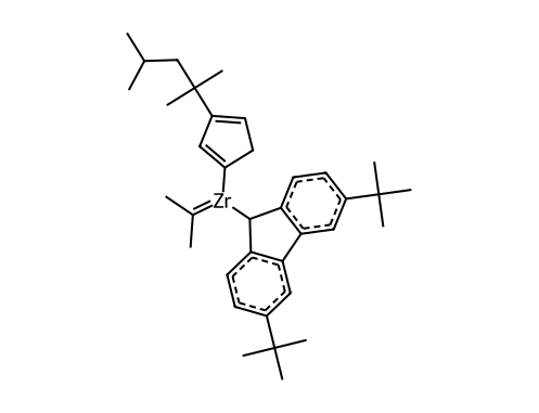 C[C](C)=[Zr]([C]1=CC(C(C)(C)CC(C)C)=CC1)[CH]1c2ccc(C(C)(C)C)cc2-c2cc(C(C)(C)C)ccc21